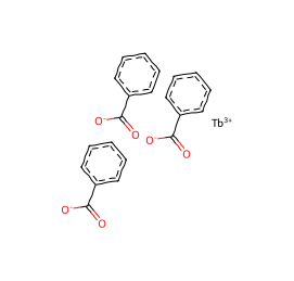 O=C([O-])c1ccccc1.O=C([O-])c1ccccc1.O=C([O-])c1ccccc1.[Tb+3]